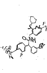 CS(=O)(=O)Nc1ccc(C(C(=O)NCc2ccc(C(F)(F)F)nc2SC2CCCCC2)c2cccc(Br)c2)cc1F